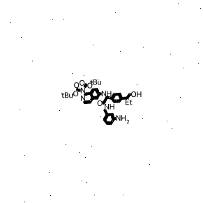 CCC(CO)c1ccc(C(Nc2ccc3c(N(C(=O)OC(C)(C)C)C(=O)OC(C)(C)C)nccc3c2)C(=O)NCc2cccc(N)c2)cc1